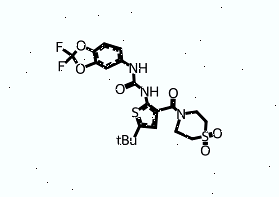 CC(C)(C)c1cc(C(=O)N2CCS(=O)(=O)CC2)c(NC(=O)Nc2ccc3c(c2)OC(F)(F)O3)s1